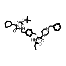 CCC(=O)N[C@H](Cc1ccc(CNC(=O)[C@@H](NC(=O)OC(C)(C)C)C2CCCCC2)cc1)C(=O)N1CCN(Cc2ccccc2)CC1